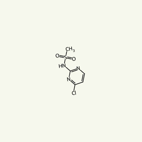 CS(=O)(=O)Nc1nccc(Cl)n1